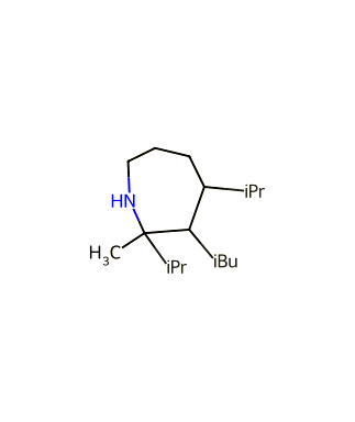 CCC(C)C1C(C(C)C)CCCNC1(C)C(C)C